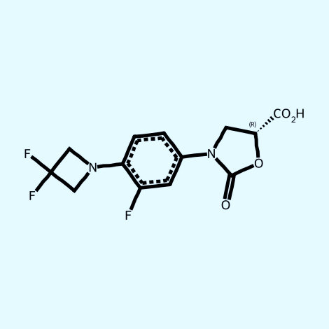 O=C(O)[C@H]1CN(c2ccc(N3CC(F)(F)C3)c(F)c2)C(=O)O1